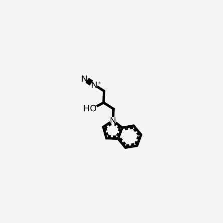 N#[N+]CC(O)Cn1ccc2ccccc21